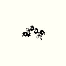 CC1(C)CN(C(=O)c2cc(N3CCC(n4c(=O)[nH]c5ncccc54)CC3)ccn2)c2ccc(F)cc21